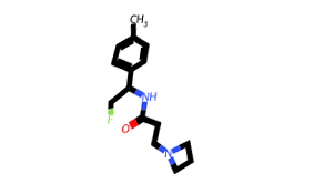 Cc1ccc(C(CF)NC(=O)CCN2CCC2)cc1